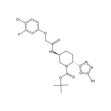 CC(C)(C)OC(=O)N1C[C@@H](NC(=O)COc2ccc(Cl)c(F)c2)CC[C@@H]1c1nnc(S)o1